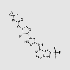 CC1(NC(=O)O[C@@H]2CO[C@H](c3cc(Nc4nccn5nc(C(F)(F)F)cc45)n[nH]3)[C@@H]2F)CC1